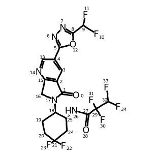 O=C1c2cc(-c3nnc(C(F)F)o3)cnc2CN1[C@@H]1CCC(F)(F)C[C@H]1NC(=O)C(F)(F)C(F)F